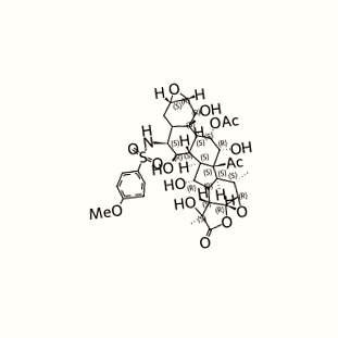 COc1ccc(S(=O)(=O)N[C@H]2C3C[C@@H]4O[C@@H]4[C@H](O)[C@]3(C)[C@H]3[C@H](OC(C)=O)[C@H](O)[C@@]4(C(C)=O)[C@@H]([C@@H](O)[C@@H]5[C@@H]4[C@H](C)[C@H]4O[C@]46OC(=O)[C@@](C)(O)[C@]56C)[C@@H]3[C@H]2O)cc1